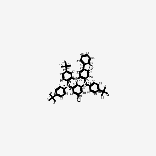 CC(C)(C)c1ccc(N2c3ccc(C(C)(C)C)cc3B3c4cc5c(cc4N(c4ccc(C(C)(C)C)cc4)c4cc(Cl)cc2c43)oc2ccccc25)cc1